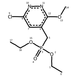 CCOP(=O)(Cc1cc(Cl)nnc1OC)OCC